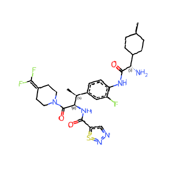 CC1CCC([C@H](N)C(=O)Nc2ccc([C@H](C)[C@@H](NC(=O)c3cnns3)C(=O)N3CCC(=C(F)F)CC3)cc2F)CC1